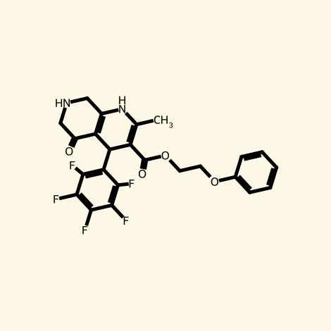 CC1=C(C(=O)OCCOc2ccccc2)C(c2c(F)c(F)c(F)c(F)c2F)C2=C(CNCC2=O)N1